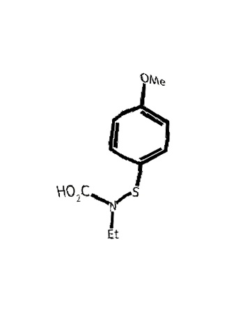 CCN(Sc1ccc(OC)cc1)C(=O)O